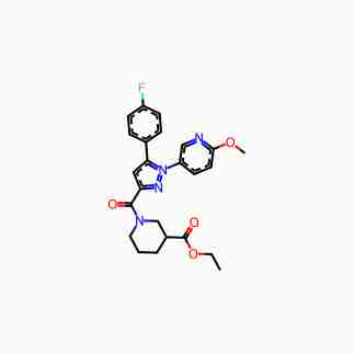 CCOC(=O)C1CCCN(C(=O)c2cc(-c3ccc(F)cc3)n(-c3ccc(OC)nc3)n2)C1